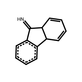 N=C1c2ccccc2C2C=CC=CC12